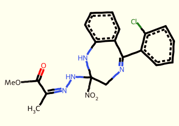 COC(=O)C(C)=NNC1([N+](=O)[O-])CN=C(c2ccccc2Cl)c2ccccc2N1